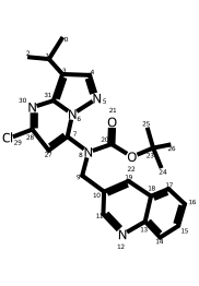 CC(C)c1cnn2c(N(Cc3cnc4ccccc4c3)C(=O)OC(C)(C)C)cc(Cl)nc12